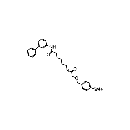 CSc1ccc(COCC(=O)NCCCCCC(=O)Nc2cccc(-c3ccccc3)c2)cc1